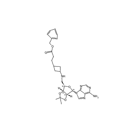 CC1(C)O[C@@H]2[C@H](O1)[C@@H](CNC1CC(CCC(=O)OCc3ccccc3)C1)O[C@H]2n1cnc2c(N)ncnc21